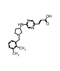 Cc1cccc(CN2CC[C@@H](Nc3cnc(/C=C/C(=O)O)cn3)C2)c1C